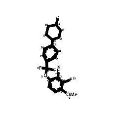 COc1ccc(OC(F)(F)c2ccc(C3CCC(C)CC3)cc2)c(F)c1F